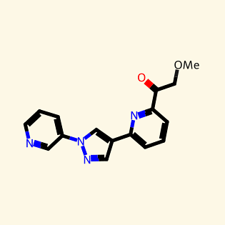 COCC(=O)c1cccc(-c2cnn(-c3cccnc3)c2)n1